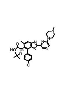 Cc1cc2nc(-c3cncc(N4CCN(C)CC4)n3)sc2c(-c2ccc(Cl)cc2)c1[C@H](OC(C)(C)C)C(=O)O